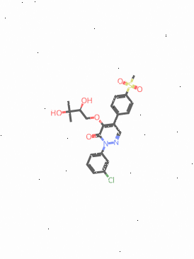 CC(C)(O)[C@@H](O)COc1c(-c2ccc(S(C)(=O)=O)cc2)cnn(-c2cccc(Cl)c2)c1=O